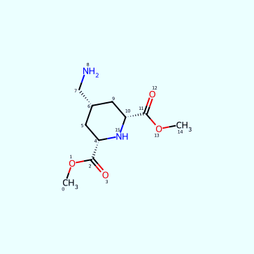 COC(=O)[C@@H]1C[C@H](CN)C[C@H](C(=O)OC)N1